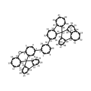 c1cc(-c2ccc3c(c2)C2(c4ccccc4O3)c3ccccc3-c3ccccc32)cc(-c2ccc3c(c2)C2(c4ccccc4-3)c3ccccc3-c3cccc4cccc2c34)c1